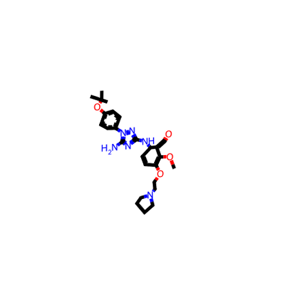 COC1=C(OCCN2CCCC2)C=CC(Nc2nc(N)n(-c3ccc(OC(C)(C)C)cc3)n2)C1=C=O